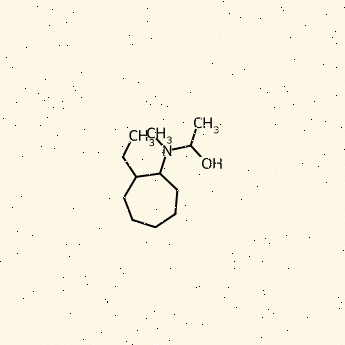 CCC1CCCCCC1N(C)C(C)O